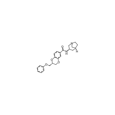 O=C(N[C@@H]1C[C@H]2CCN(C2)C1)c1ccc2c(c1)OC[C@@H](COc1ccccc1)O2